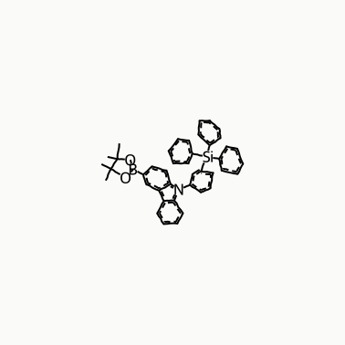 CC1(C)OB(c2ccc3c(c2)c2ccccc2n3-c2cccc([Si](c3ccccc3)(c3ccccc3)c3ccccc3)c2)OC1(C)C